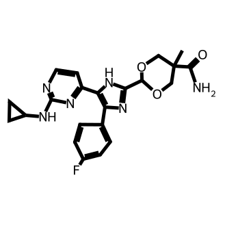 CC1(C(N)=O)COC(c2nc(-c3ccc(F)cc3)c(-c3ccnc(NC4CC4)n3)[nH]2)OC1